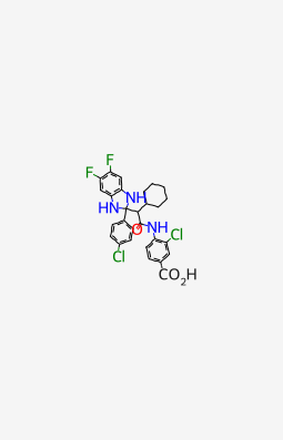 O=C(O)c1ccc(NC(=O)C(C2CCCCC2)C2(c3ccc(Cl)cc3)Nc3cc(F)c(F)cc3N2)c(Cl)c1